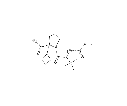 COC(=O)NC(C(=O)N1CCCC1(C(=O)O)C1CCC1)C(C)(C)C